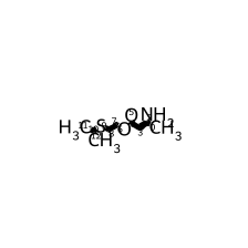 C/C(N)=C/C(=O)OCCSC(C)C